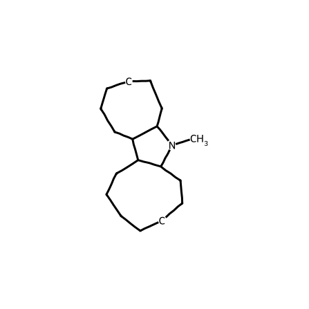 CN1C2CCCCCCCC2C2CCCCCCC21